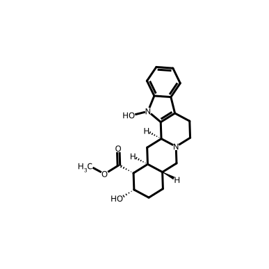 COC(=O)[C@@H]1[C@H]2C[C@H]3c4c(c5ccccc5n4O)CCN3C[C@@H]2CC[C@@H]1O